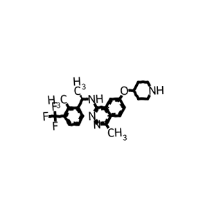 Cc1c([C@@H](C)Nc2nnc(C)c3ccc(OC4CCNCC4)cc23)cccc1C(F)(F)F